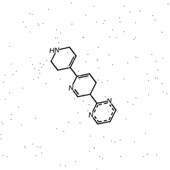 C1=NC(C2=CCNCC2)=CCC1c1ncccn1